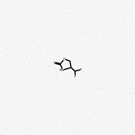 FC(F)C1COC(=S)N1